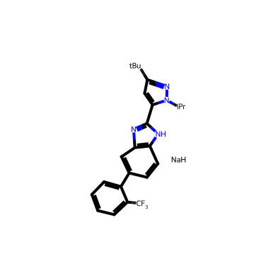 CC(C)n1nc(C(C)(C)C)cc1-c1nc2cc(-c3ccccc3C(F)(F)F)ccc2[nH]1.[NaH]